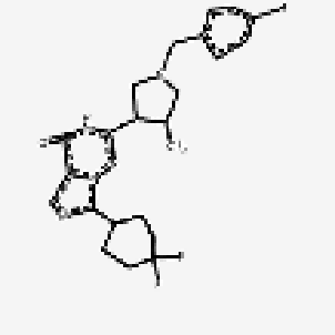 CC1CN(Cc2ccc(F)cc2)CC1c1nn2c(C3CCC(F)(F)CC3)ncc2c(=O)[nH]1